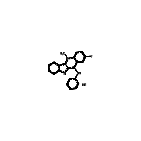 Cl.Cn1c2c3ccccc3nc-2c(Nc2ccccc2)c2cc(F)ccc21